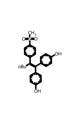 CCCCC(=C(c1ccc(O)cc1)c1ccc(O)cc1)c1ccc(S(C)(=O)=O)cc1